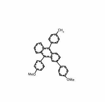 COc1ccc(-c2ccc3c(-c4ccc(C)cc4)c4ccccc4c(-c4ccc(OC)cc4)c3c2)cc1